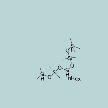 CCCCCC[SiH](O[Si](C)(C)O[SiH](C)C)O[Si](C)(C)O[SiH](C)C